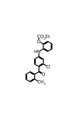 CCOC(=O)Oc1ccccc1Nc1ccc(C(=O)c2ccccc2C)c(Cl)c1